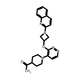 CC(=O)C1CCN(c2ccnnc2OC2CN(c3ccc4ccccc4n3)C2)CC1